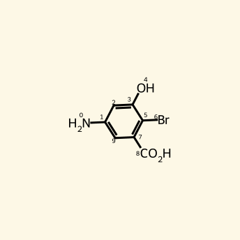 Nc1cc(O)c(Br)c(C(=O)O)c1